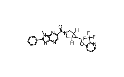 Cn1c(-c2ccccc2)nc2ncc(C(=O)N3C[C@@H]4C(COc5cccnc5C(F)(F)F)[C@@H]4C3)nc21